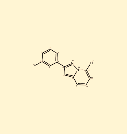 Cc1cccc(-c2cc3cccc(Cl)n3n2)c1